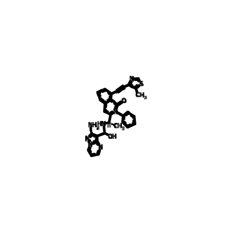 Cc1scnc1C#Cc1cccc2cc([C@H](C)NC(O)c3c(N)nn4cccnc34)n(-c3ccccc3)c(=O)c12